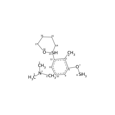 CN(C)C.Cc1c(O[SiH3])cccc1[SiH]1CCCCO1